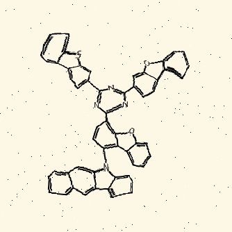 c1ccc2cc3c(cc2c1)c1ccccc1n3-c1ccc(-c2nc(-c3ccc4c(c3)oc3ccccc34)nc(-c3ccc4c(c3)sc3ccccc34)n2)c2oc3ccccc3c12